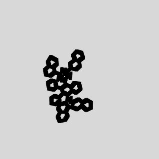 c1ccc(-c2c(-c3ccccc3)c(-n3c4cc5ccccc5cc4c4c5ccccc5ccc43)c3ccccc3c2-c2nc(-c3ccc4ccccc4c3)nc(-c3cccc4ccccc34)n2)cc1